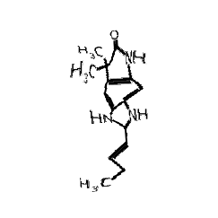 CCC=CC1Nc2cc3c(cc2N1)C(C)(C)C(=O)N3